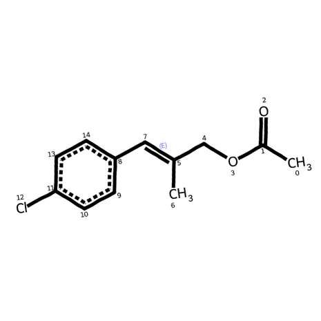 CC(=O)OC/C(C)=C/c1ccc(Cl)cc1